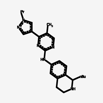 CCCCC1NCCc2cc(Nc3ncc(C)c(-c4cnn(C(C)C)c4)n3)ccc21